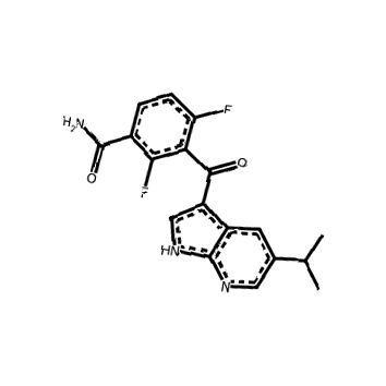 CC(C)c1cnc2[nH]cc(C(=O)c3c(F)ccc(C(N)=O)c3F)c2c1